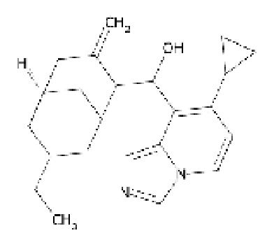 C=C1C[C@@H]2CC(CC)CC(C2)C1C(O)c1c(C2CC2)ccn2cncc12